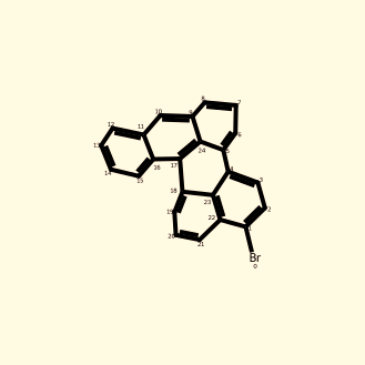 Brc1ccc2c3cccc4cc5ccccc5c(c5cccc1c25)c43